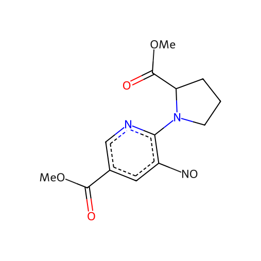 COC(=O)c1cnc(N2CCCC2C(=O)OC)c(N=O)c1